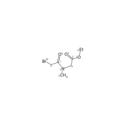 CCOC(=O)CN(C)C(=O)CBr